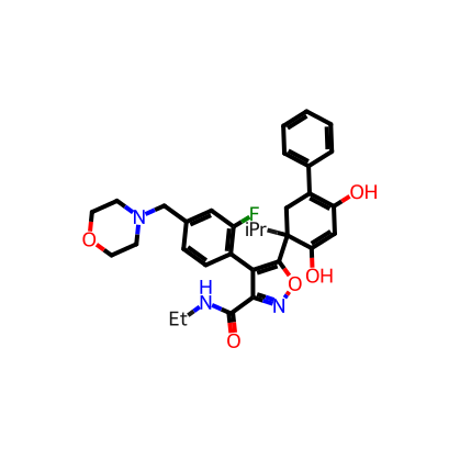 CCNC(=O)c1noc(C2(C(C)C)CC(c3ccccc3)=C(O)C=C2O)c1-c1ccc(CN2CCOCC2)cc1F